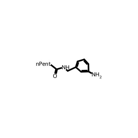 CCCCCC(=O)NCc1cccc(N)c1